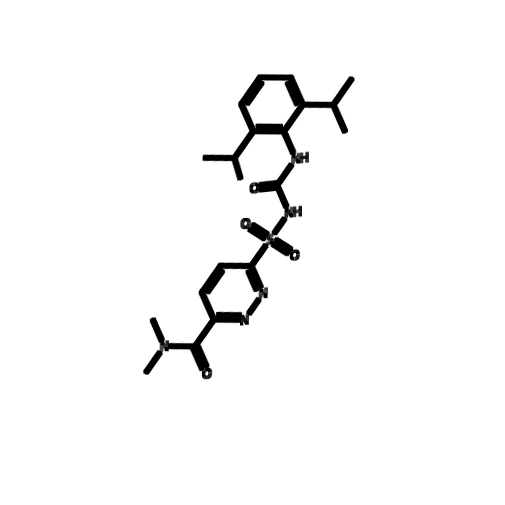 CC(C)c1cccc(C(C)C)c1NC(=O)NS(=O)(=O)c1ccc(C(=O)N(C)C)nn1